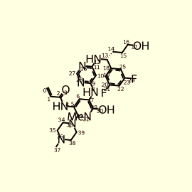 C=CC(=O)N/C(=C/C(Nc1cc(N[C@H](CCCO)c2cc(F)cc(F)c2)ncn1)=C(/O)NC)CN1CCN(C)CC1